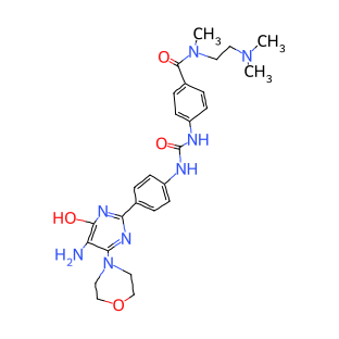 CN(C)CCN(C)C(=O)c1ccc(NC(=O)Nc2ccc(-c3nc(O)c(N)c(N4CCOCC4)n3)cc2)cc1